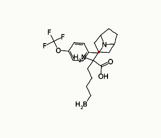 BCCCCC(N)(C(=O)O)C1CC2CCC(C1)N2Cc1ccc(OC(F)(F)F)cc1